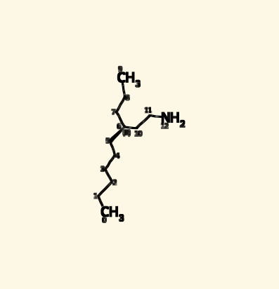 CCCCCC[C@@H](CCC)CCN